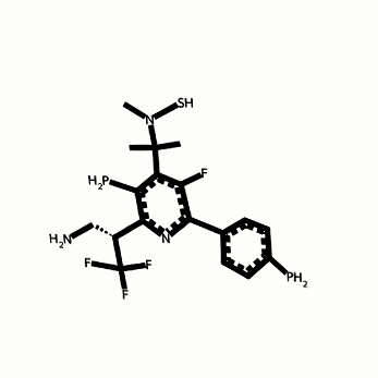 CN(S)C(C)(C)c1c(F)c(-c2ccc(P)cc2)nc([C@@H](CN)C(F)(F)F)c1P